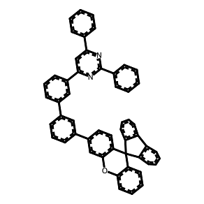 c1ccc(-c2cc(-c3cccc(-c4cccc(-c5ccc6c(c5)Oc5ccccc5C65c6ccccc6-c6ccccc65)c4)c3)nc(-c3ccccc3)n2)cc1